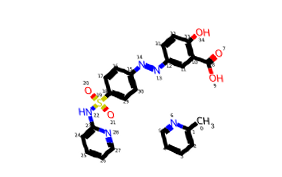 Cc1ccccn1.O=C(O)c1cc(N=Nc2ccc(S(=O)(=O)Nc3ccccn3)cc2)ccc1O